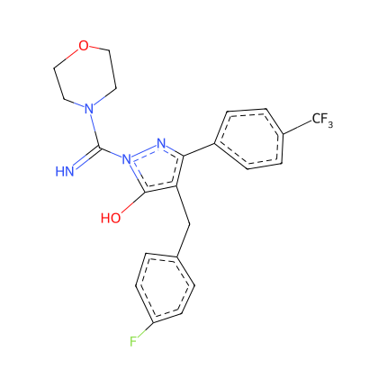 N=C(N1CCOCC1)n1nc(-c2ccc(C(F)(F)F)cc2)c(Cc2ccc(F)cc2)c1O